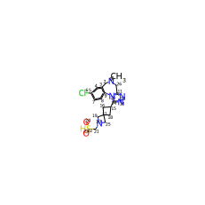 CN1Cc2cc(Cl)ccc2-n2c(nnc2C2CC3(C2)CN(C[SH](=O)=O)C3)C1